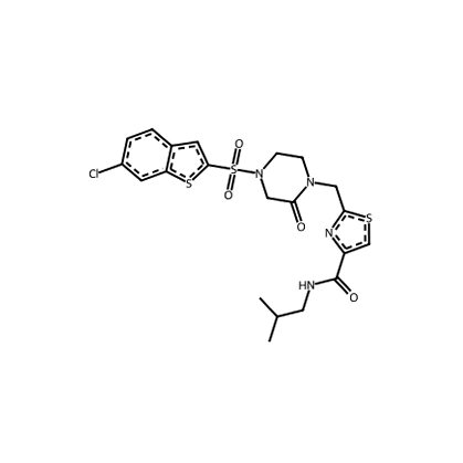 CC(C)CNC(=O)c1csc(CN2CCN(S(=O)(=O)c3cc4ccc(Cl)cc4s3)CC2=O)n1